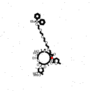 CC[C@H]1OC(=O)[C@H](C)[C@@H](O[C@H]2C[C@@](C)(OC)[C@@H](O)[C@H](C)O2)[C@H](C)[C@@H](OC2OC(C)CCC2OC(=O)CCOCCOCCOCCOCCO[Si](c2ccccc2)(c2ccccc2)C(C)(C)C)[C@](C)(O)C[C@@H](C)CN(C)[C@H](C)[C@@H](O)[C@]1(C)O